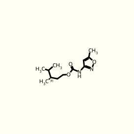 Cc1cc(NC(=O)OCC[C@@H](C)C(C)C)no1